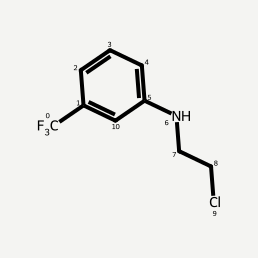 FC(F)(F)c1cccc(NCCCl)c1